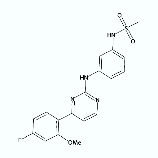 COc1cc(F)ccc1-c1ccnc(Nc2cccc(NS(C)(=O)=O)c2)n1